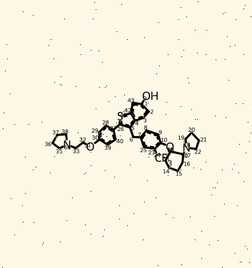 Oc1ccc2c(Cc3ccc(O[C@H]4CCCC[C@@H]4N4CCCC4)c(C(F)(F)F)c3)c(-c3ccc(OCCN4CCCC4)cc3)sc2c1